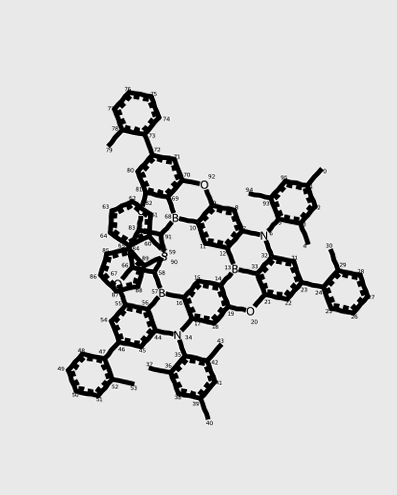 Cc1cc(C)c(N2c3cc4c(cc3B3c5cc6c(cc5Oc5cc(-c7ccccc7C)cc2c53)N(c2c(C)cc(C)cc2C)c2cc(-c3ccccc3C)cc3c2B6C2Sc5ccccc5C2O3)B2c3c(cc(-c5ccccc5C)cc3OC3c5ccccc5SC23)O4)c(C)c1